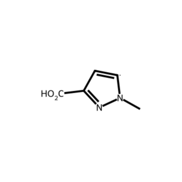 Cn1[c]cc(C(=O)O)n1